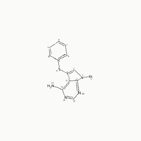 CCn1cc(Sc2ccccc2)c2c(N)ncnc21